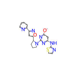 COc1cc(Nc2nccs2)nc(N2CCCC2c2cc(-c3ccccn3)no2)n1